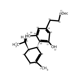 C=C(C)[C@@H]1CCC(C)=C[C@H]1c1c(O)cc(CCCCCCCCCCCC)cc1O